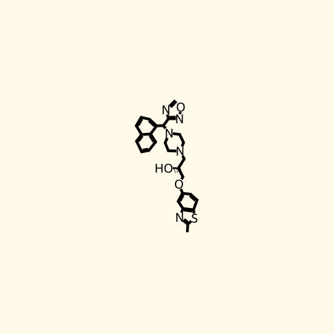 Cc1nc2cc(OC[C@@H](O)CN3CCN(C(c4ncon4)c4cccc5ccccc45)CC3)ccc2s1